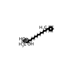 CC(CCCCCCCCCCCCC(O)C(C)S(=O)(=O)O)c1ccccc1